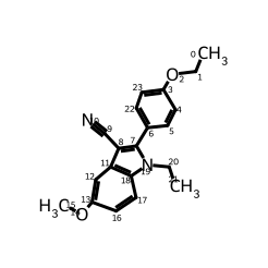 CCOc1ccc(-c2c(C#N)c3cc(OC)ccc3n2CC)cc1